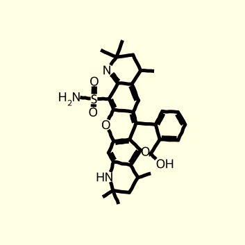 CC1CC(C)(C)Nc2cc3c(cc21)C(c1ccccc1C(=O)O)=c1cc2c(c(S(N)(=O)=O)c1O3)=NC(C)(C)CC2C